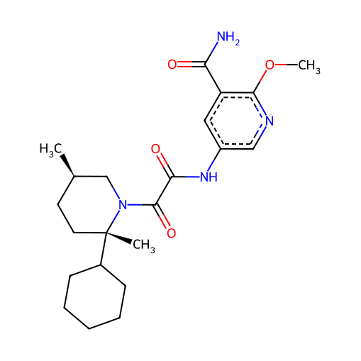 COc1ncc(NC(=O)C(=O)N2C[C@H](C)CC[C@@]2(C)C2CCCCC2)cc1C(N)=O